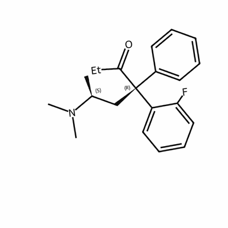 CCC(=O)[C@](C[C@H](C)N(C)C)(c1ccccc1)c1ccccc1F